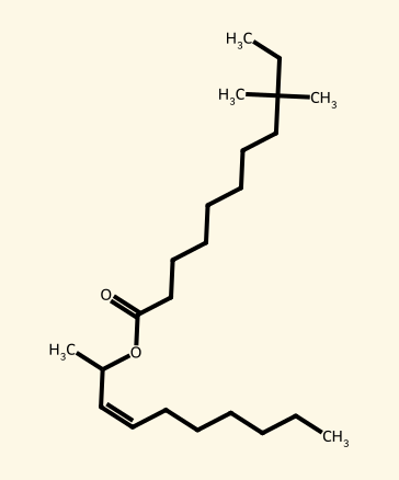 CCCCCC/C=C\C(C)OC(=O)CCCCCCCC(C)(C)CC